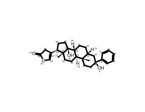 C[C@]12CC[C@@](O)(c3ccccc3)C[C@H]1CC[C@@H]1[C@@H]2CC[C@]2(C)[C@@H](C3=COC(=O)C3)CC[C@]12O